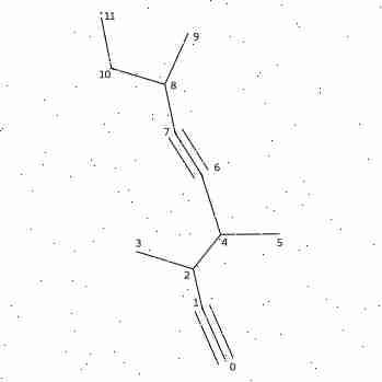 C#CC(C)C(C)C#CC(C)C[CH2]